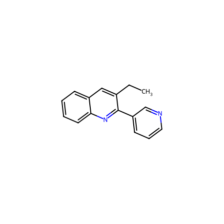 CCc1cc2ccccc2nc1-c1cccnc1